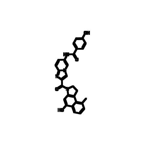 Cc1cccc2c(O)cc3c(c12)CCN3C(=O)c1cn2cc(NC(=O)c3ccc(O)cc3)ccc2n1